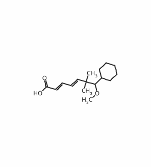 COC(C1CCCCC1)C(C)(C)/C=C/C=C/C(=O)O